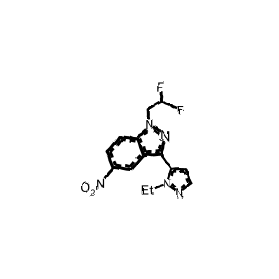 CCn1nccc1-c1nn(CC(F)F)c2ccc([N+](=O)[O-])cc12